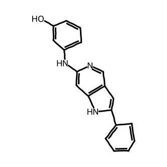 Oc1cccc(Nc2cc3[nH]c(-c4ccccc4)cc3cn2)c1